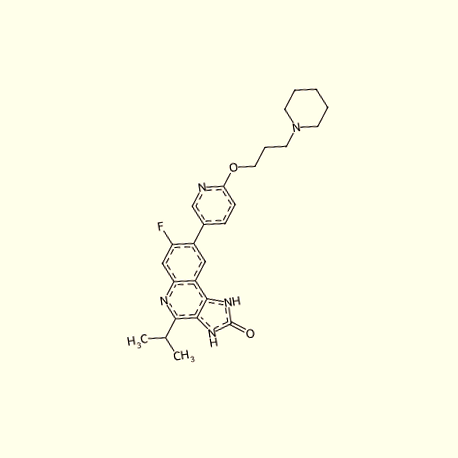 CC(C)c1nc2cc(F)c(-c3ccc(OCCCN4CCCCC4)nc3)cc2c2[nH]c(=O)[nH]c12